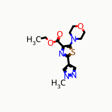 CCOC(=O)c1nc(-c2cnn(C)c2)sc1N1CCOCC1